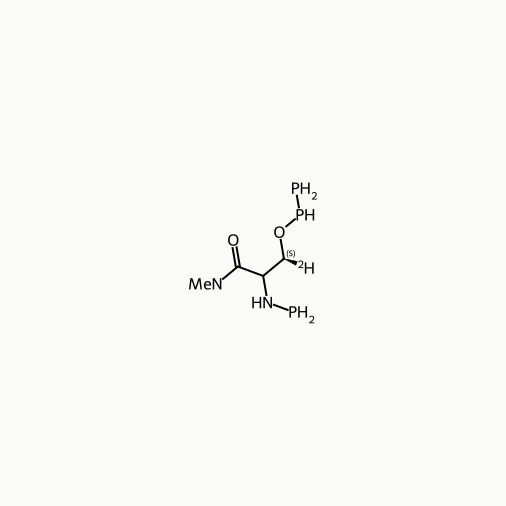 [2H][C@H](OPP)C(NP)C(=O)NC